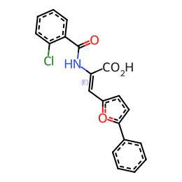 O=C(O)/C(=C\c1ccc(-c2ccccc2)o1)NC(=O)c1ccccc1Cl